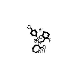 O=C1NCCCCC1N(Cc1cc(Br)ccc1F)S(=O)(=O)c1ccc(Cl)cc1